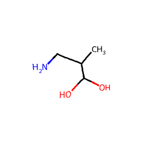 CC(CN)C(O)O